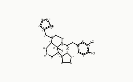 O=C(Cc1ccc(Cl)c(Cl)c1)N1CCN(Cc2ccn[nH]2)C2COCC(N3CCCC3)[C@H]21